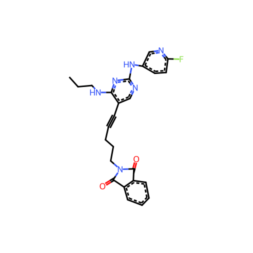 CCCNc1nc(Nc2ccc(F)nc2)ncc1C#CCCCN1C(=O)c2ccccc2C1=O